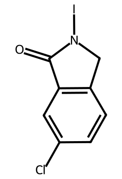 O=C1c2cc(Cl)ccc2CN1I